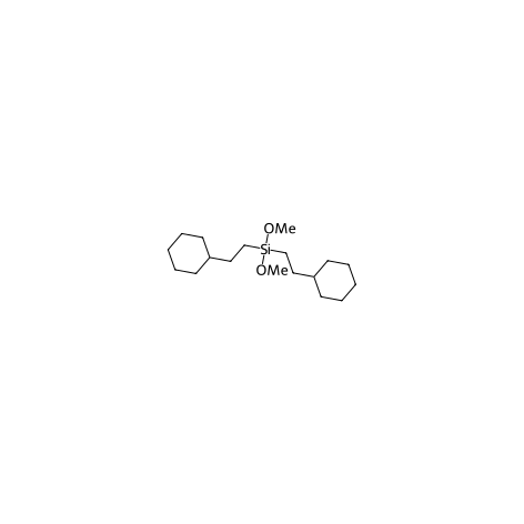 CO[Si](CCC1CCCCC1)(CCC1CCCCC1)OC